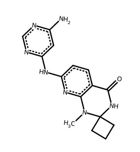 CN1c2nc(Nc3cc(N)ncn3)ccc2C(=O)NC12CCC2